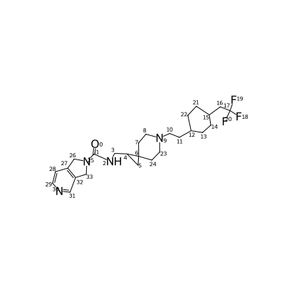 O=C(NCC1CC12CCN(CCC1CCC(CC(F)(F)F)CC1)CC2)N1Cc2ccncc2C1